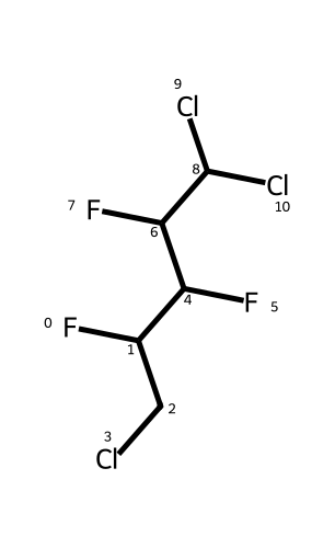 FC(CCl)C(F)C(F)C(Cl)Cl